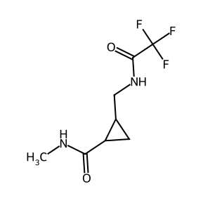 CNC(=O)C1CC1CNC(=O)C(F)(F)F